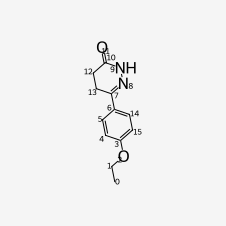 CCOc1ccc(C2=NNC(=O)CC2)cc1